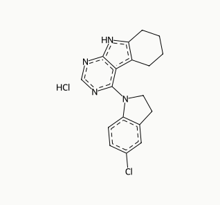 Cl.Clc1ccc2c(c1)CCN2c1ncnc2[nH]c3c(c12)CCCC3